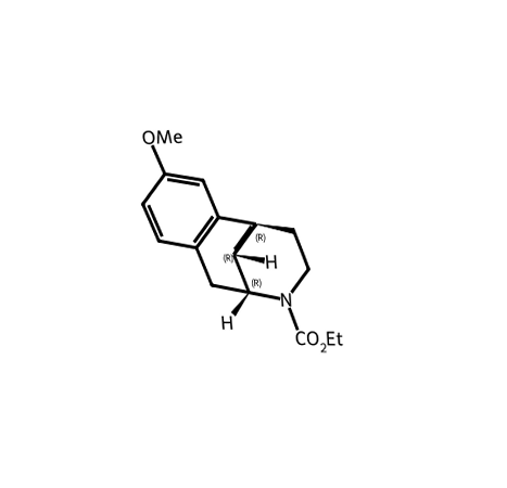 CCOC(=O)N1CC[C@]23CCCC[C@H]2[C@H]1Cc1ccc(OC)cc13